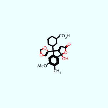 COc1ccc(C2(O)OC(=O)C=C2C(C2=COCO2)(c2ccc(C)cc2)C2CCCC(C(=O)O)C2)cc1